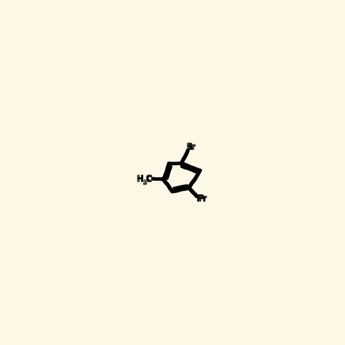 Cc1cc(Br)cc(C(C)C)c1